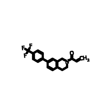 C=CC(=O)N1CCc2ccc(-c3ccc(C(F)(F)F)cc3)cc2C1